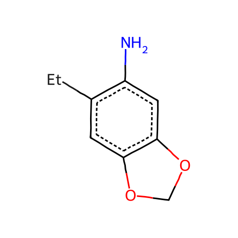 CCc1cc2c(cc1N)OCO2